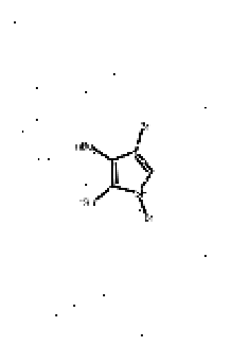 CCCCC1=C(CCCC)[SH](Br)C=C1Br